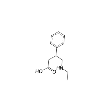 CCNCC(CC(=O)O)c1ccccc1